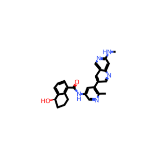 CNc1cc2ncc(-c3cc(NC(=O)c4cccc5c4CCC[C@H]5O)cnc3C)cc2cn1